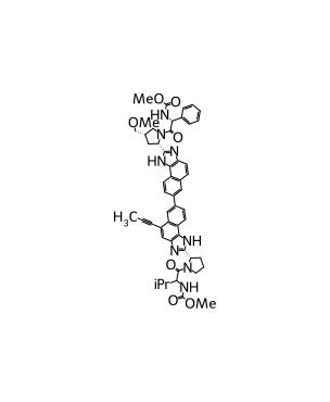 CC#Cc1cc2nc([C@@H]3CCCN3C(=O)C(NC(=O)OC)C(C)C)[nH]c2c2ccc(-c3ccc4c(ccc5nc([C@@H]6C[C@H](COC)CN6C(=O)[C@H](NC(=O)OC)c6ccccc6)[nH]c54)c3)cc12